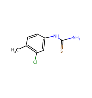 Cc1ccc(NC(N)=S)cc1Cl